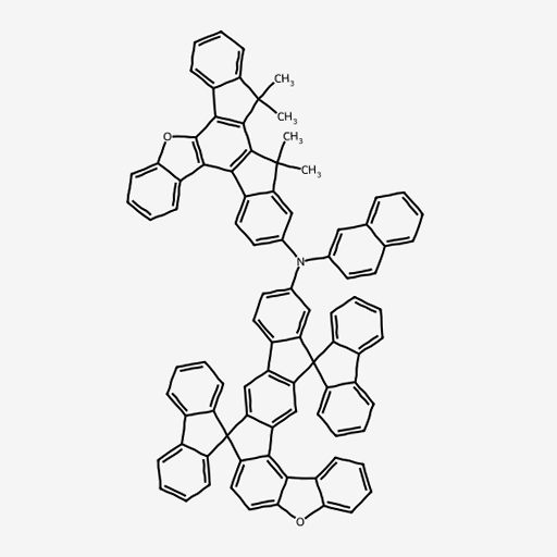 CC1(C)c2ccccc2-c2c1c1c(c3c2oc2ccccc23)-c2ccc(N(c3ccc4c(c3)C3(c5ccccc5-c5ccccc53)c3cc5c(cc3-4)C3(c4ccccc4-c4ccccc43)c3ccc4oc6ccccc6c4c3-5)c3ccc4ccccc4c3)cc2C1(C)C